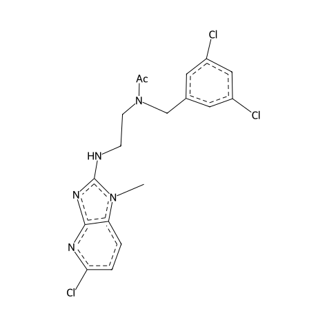 CC(=O)N(CCNc1nc2nc(Cl)ccc2n1C)Cc1cc(Cl)cc(Cl)c1